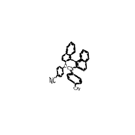 N#Cc1ccc(Oc2ccc3ccccc3c2-c2c(Oc3ccc(C#N)cc3)ccc3ccccc23)cc1